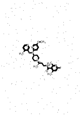 COc1ccc(N(Cc2cnccc2C)C2CCN([C@H](C)CCNC(=O)c3c(C)cc(F)nc3C)CC2)nc1